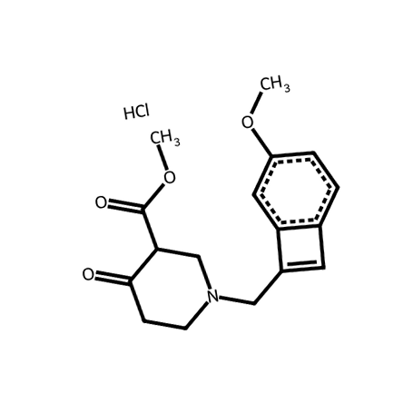 COC(=O)C1CN(CC2=Cc3ccc(OC)cc32)CCC1=O.Cl